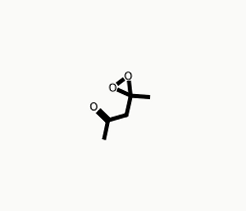 CC(=O)CC1(C)OO1